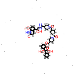 O=C(C1CCC(C(=O)N2CCC(COc3cccc(C(O)(C(=O)O)c4ccccc4)c3)CC2)CC1)N1CCC(CNCC(O)c2ccc(O)c3[nH]c(=O)ccc23)CC1